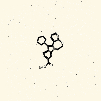 COC(=O)c1ccc2c(C3CCCCC3)c3n(c2c1)CCOc1ncccc1-3